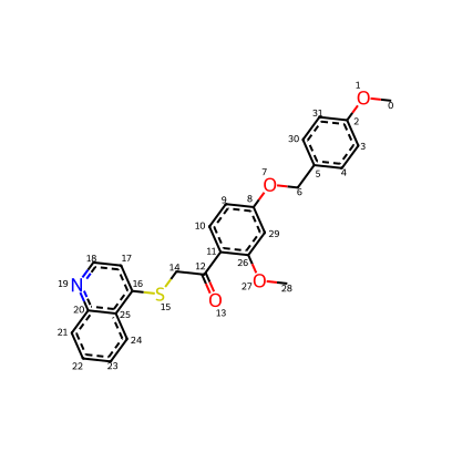 COc1ccc(COc2ccc(C(=O)CSc3ccnc4ccccc34)c(OC)c2)cc1